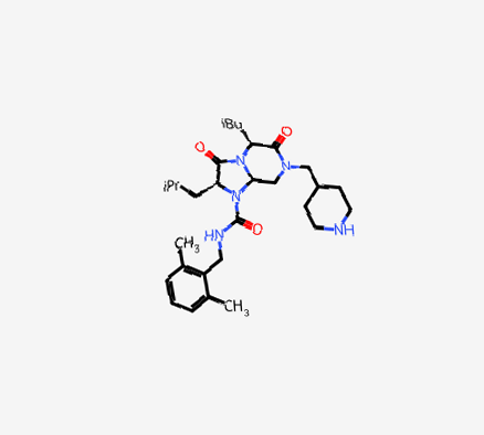 CCC(C)[C@H]1C(=O)N(CC2CCNCC2)CC2N1C(=O)[C@H](CC(C)C)N2C(=O)NCc1c(C)cccc1C